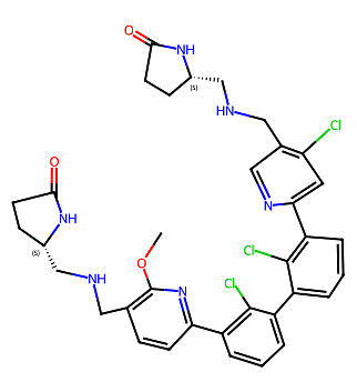 COc1nc(-c2cccc(-c3cccc(-c4cc(Cl)c(CNC[C@@H]5CCC(=O)N5)cn4)c3Cl)c2Cl)ccc1CNC[C@@H]1CCC(=O)N1